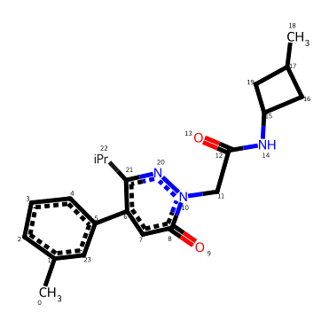 Cc1cccc(-c2cc(=O)n(CC(=O)NC3CC(C)C3)nc2C(C)C)c1